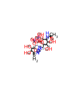 B[C@@H]1O[C@H](COP(=O)(O)OP(=O)(O)OC2OC(CN=[N+]=[N-])C(CO)C(O)C2NC(C)=O)C(O)C1O